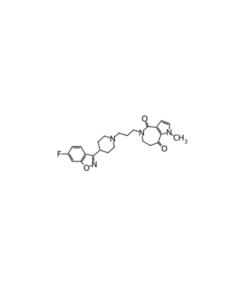 Cn1ccc2c1C(=O)CCN(CCCN1CCC(c3noc4cc(F)ccc34)CC1)C2=O